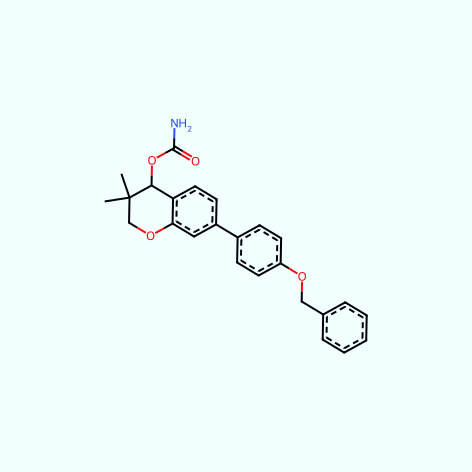 CC1(C)COc2cc(-c3ccc(OCc4ccccc4)cc3)ccc2C1OC(N)=O